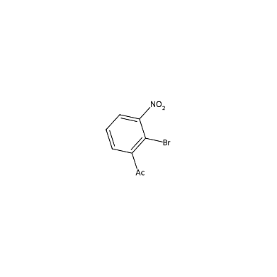 CC(=O)c1cccc([N+](=O)[O-])c1Br